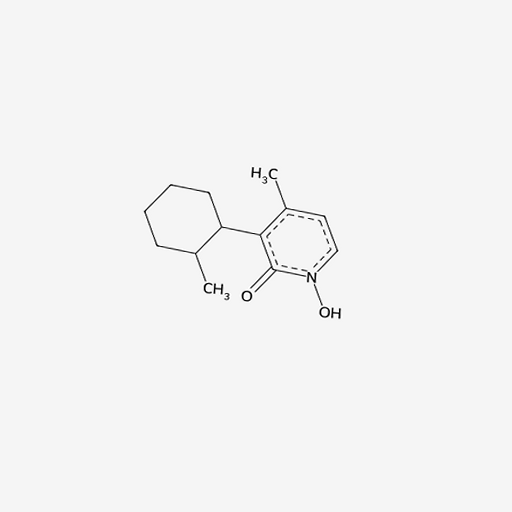 Cc1ccn(O)c(=O)c1C1CCCCC1C